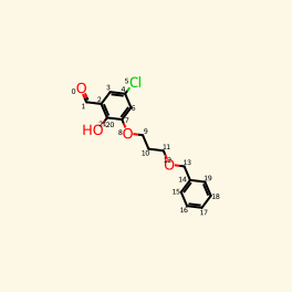 O=Cc1cc(Cl)cc(OCCCOCc2ccccc2)c1O